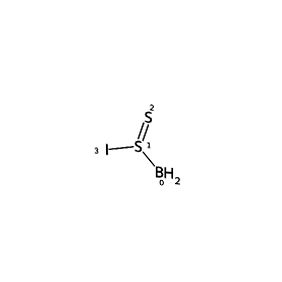 BS(=S)I